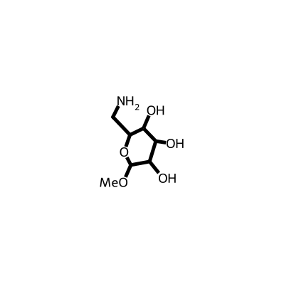 COC1OC(CN)C(O)C(O)C1O